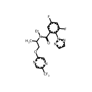 CCN(C(=O)c1cc(F)cc(F)c1-n1nccn1)C(C)COc1cnc(C(F)(F)F)cn1